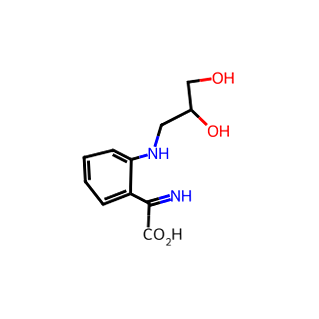 N=C(C(=O)O)c1ccccc1NCC(O)CO